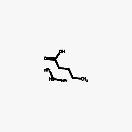 CCCCC(=O)O.CCCNCCC